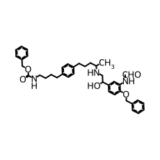 CC(CCCc1ccc(CCCCNC(=O)OCc2ccccc2)cc1)NCC(O)c1ccc(OCc2ccccc2)c(NC=O)c1